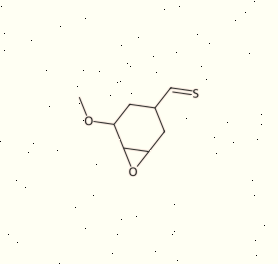 COC1CC(C=S)CC2OC12